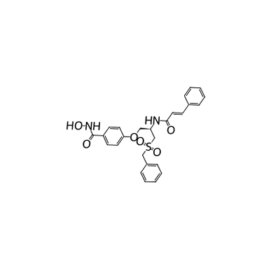 O=C(/C=C/c1ccccc1)N[C@H](COc1ccc(C(=O)NO)cc1)CS(=O)(=O)Cc1ccccc1